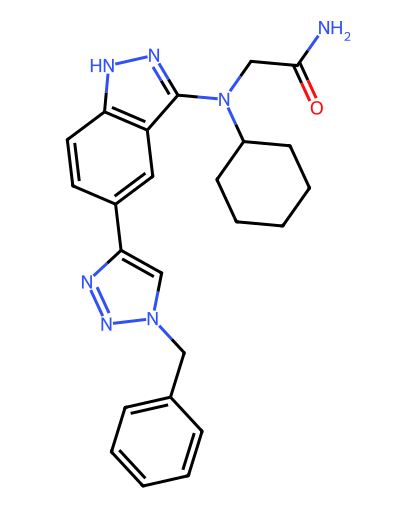 NC(=O)CN(c1n[nH]c2ccc(-c3cn(Cc4ccccc4)nn3)cc12)C1CCCCC1